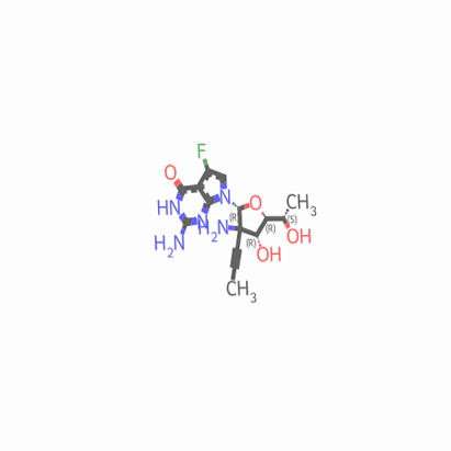 CC#CC1(N)[C@@H](O)[C@@H]([C@H](C)O)O[C@H]1n1cc(F)c2c(=O)[nH]c(N)nc21